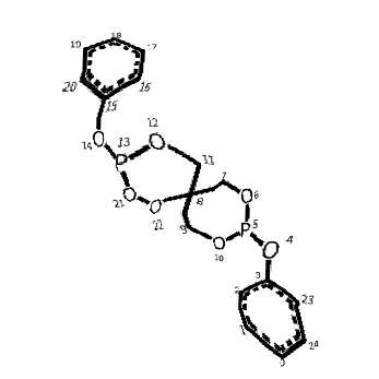 c1ccc(OP2OCC3(CO2)COP(Oc2ccccc2)OO3)cc1